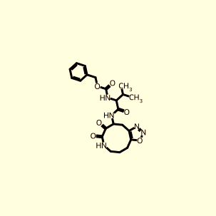 CC(C)C(NC(=O)OCc1ccccc1)C(=O)NC1Cc2nnoc2CCCNC(=O)C1=O